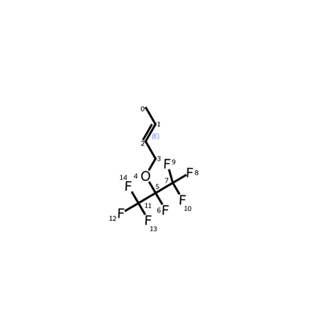 C/C=C/COC(F)(C(F)(F)F)C(F)(F)F